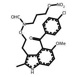 COc1ccc2[nH]c(C)c(CCON(C=O)CCCO[N+](=O)[O-])c2c1C(=O)c1ccc(Cl)cc1